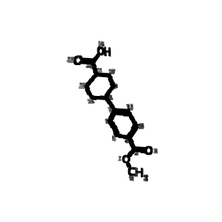 COC(=O)c1ccc(C2CCC(C(=O)O)CC2)cc1